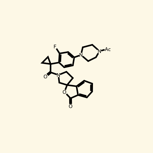 CC(=O)N1CCN(c2ccc(C3(C(=O)N4CCC5(C4)OC(=O)c4ccccc45)CC3)c(F)c2)CC1